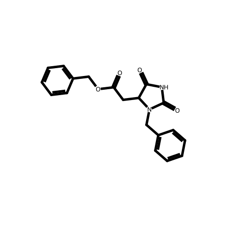 O=C(CC1C(=O)NC(=O)N1Cc1ccccc1)OCc1ccccc1